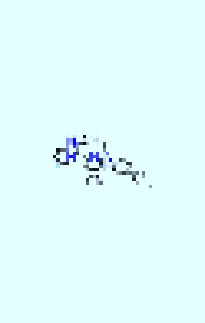 Cc1nc2ccc(F)cn2c1-c1cc(C#N)cc(Nc2ccc(C(F)(F)F)cc2)n1